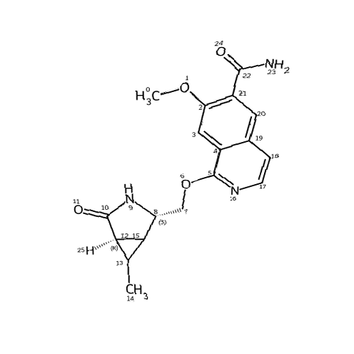 COc1cc2c(OC[C@H]3NC(=O)[C@@H]4C(C)C43)nccc2cc1C(N)=O